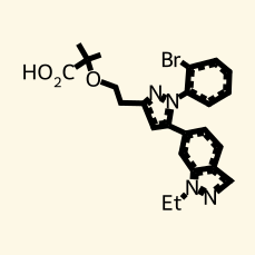 CCn1ncc2ccc(-c3cc(CCOC(C)(C)C(=O)O)nn3-c3ccccc3Br)cc21